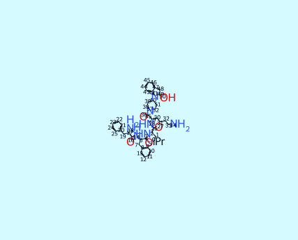 CC(C)C[C@@H](NC(=O)[C@@H](Cc1ccccc1)NC(=O)[C@H](N)Cc1ccccc1)C(=O)N[C@H](CCCCN)C(=O)N1CCC(N2c3ccccc3CC2O)CC1